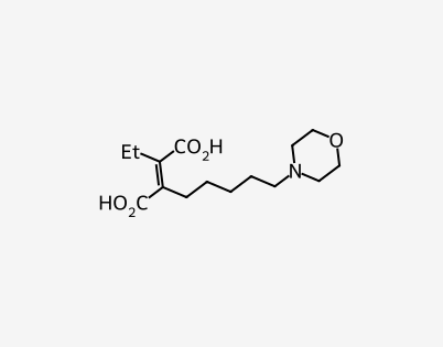 CCC(C(=O)O)=C(CCCCCN1CCOCC1)C(=O)O